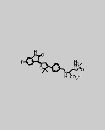 CC1(C)O/C(=C2/C(=O)Nc3cc(F)ccc32)C=C1c1ccc(CNC(CC[SH](C)(N)=O)C(=O)O)cc1